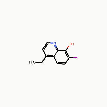 CCc1ccnc2c(O)c(I)ccc12